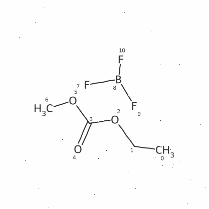 CCOC(=O)OC.FB(F)F